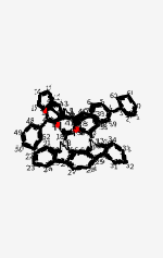 c1ccc(-c2ccc(-c3nc(-c4ccccc4)nc(-n4c5ccccc5c5ccc6c7ccccc7n(-c7cccc(-c8cccc(-c9ccccc9)c8)c7)c6c54)n3)cc2)cc1